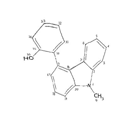 Cn1c2ccccc2c2c(-c3ccccc3O)cccc21